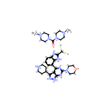 CN1CCN(C(=O)N2CCN(C)CC2)CC1.FC(F)c1nc2cccc(-c3nc(N4CCOCC4)nc4[nH]nc(C5CCNCC5)c34)c2[nH]1